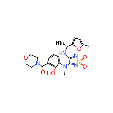 Cc1ccc([C@H](NC2=NS(=O)(=O)N=C2N(C)c2cccc(C(=O)N3CCOCC3)c2O)C(C)(C)C)o1